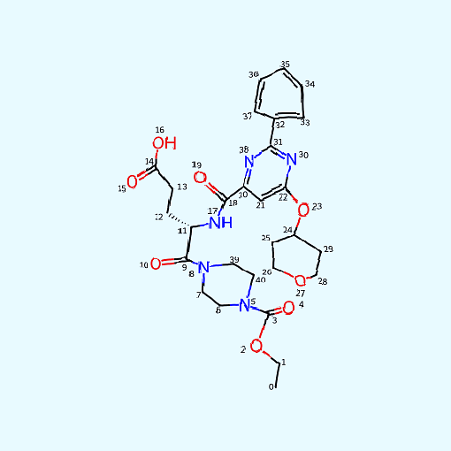 CCOC(=O)N1CCN(C(=O)[C@H](CCC(=O)O)NC(=O)c2cc(OC3CCOCC3)nc(-c3ccccc3)n2)CC1